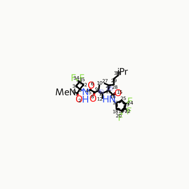 CNC(=O)C1(NC(=O)C(=O)/C(C)=C(C)/C(C(=O)Nc2cc(F)c(F)c(F)c2)=C(\C)CCCC(C)C)CC(F)(F)C1